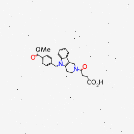 COC(=O)c1ccc(Cn2c3c(c4ccccc42)CN(C(=O)CCC(=O)O)CC3)cc1